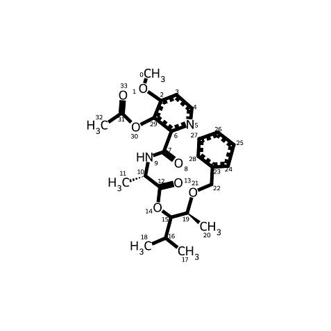 COc1ccnc(C(=O)N[C@@H](C)C(=O)OC(C(C)C)[C@H](C)OCc2ccccc2)c1OC(C)=O